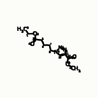 CCOC(=O)CCCCn1cc(C(=O)OC)nn1